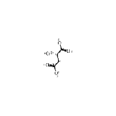 O=C([O-])CCC(=O)[O-].[Cr+2]